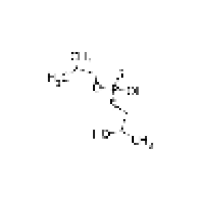 CC(C)COP(O)(=S)SCC(C)O